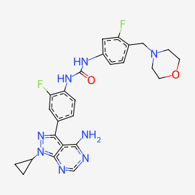 Nc1ncnc2c1c(-c1ccc(NC(=O)Nc3ccc(CN4CCOCC4)c(F)c3)c(F)c1)nn2C1CC1